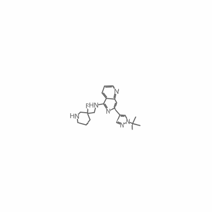 CC(C)(C)n1cc(-c2cc3ncccc3c(NCC3(F)CCCNC3)n2)cn1